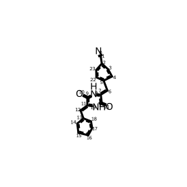 N#Cc1ccc(/C=c2\[nH]c(=O)/c(=C/c3ccccc3)[nH]c2=O)cc1